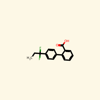 CCC(F)(F)c1ccc(-c2ccccc2C(=O)O)cc1